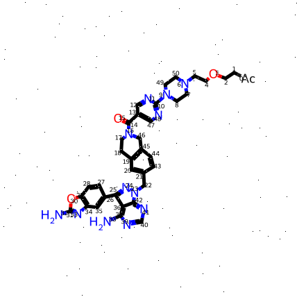 CC(=O)CCOCCN1CCN(c2ncc(C(=O)N3CCc4cc(Cn5nc(-c6ccc7oc(N)nc7c6)c6c(N)ncnc65)ccc4C3)cn2)CC1